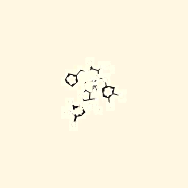 CC(C(=O)OCc1ccccc1)N(Oc1ccc(Cl)c(Cl)c1)[PH](=O)OC[C@H]1O[C@@H](n2ccc(=O)[nH]c2=O)[C@](C)(F)[C@@H]1O